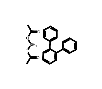 CC(=O)O[SiH2]OC(C)=O.c1ccc(-c2ccccc2-c2ccccc2)cc1